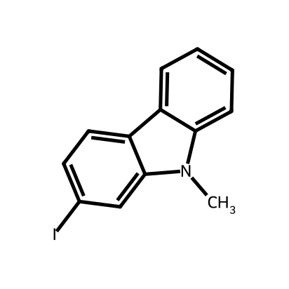 Cn1c2ccccc2c2ccc(I)cc21